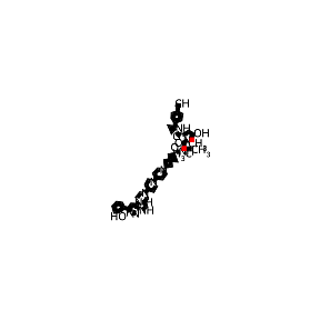 C#Cc1ccc(C2(NC(=O)[C@@H]3C[C@@H](O)CN3C(=O)[C@@H](NC(=O)[C@H]3CC4(C3)C[C@H](N3CCC(N5CCC(N6CCN7c8cc(-c9ccccc9O)nnc8NC[C@H]7C6)CC5)CC3)C4)C(C)(C)C)CC2)cc1